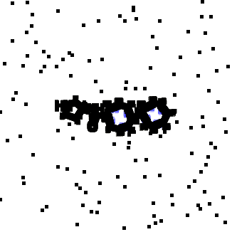 O=C(N[C@@H]1CCNC1)C1=C\C=C/C(C2=C/C=C\C=C/C=C\2)=C\C=C/1